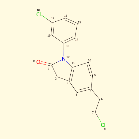 O=C1Cc2cc(CCCl)ccc2N1c1cccc(Cl)c1